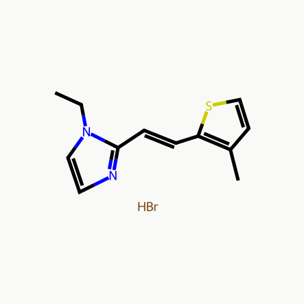 Br.CCn1ccnc1C=Cc1sccc1C